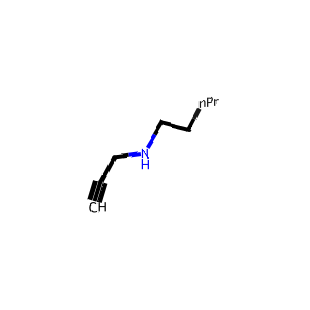 C#CCNCCCC[CH2]